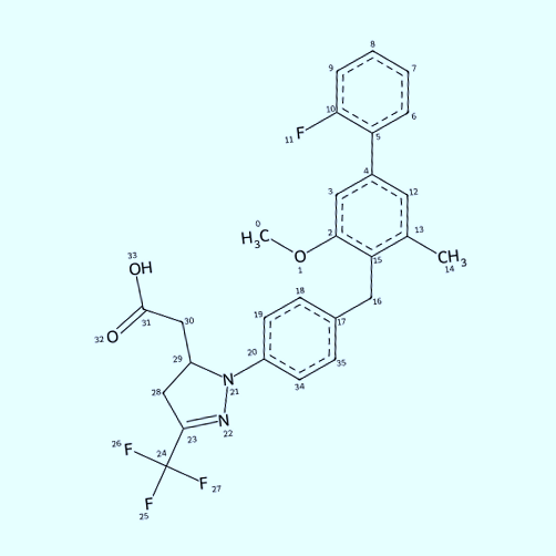 COc1cc(-c2ccccc2F)cc(C)c1Cc1ccc(N2N=C(C(F)(F)F)CC2CC(=O)O)cc1